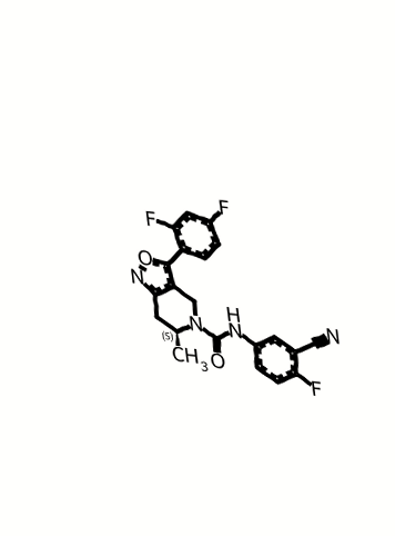 C[C@H]1Cc2noc(-c3ccc(F)cc3F)c2CN1C(=O)Nc1ccc(F)c(C#N)c1